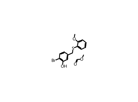 COC=O.COc1ccccc1SCc1ccc(Br)c(O)c1